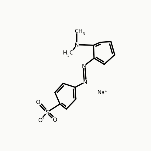 CN(C)c1ccccc1N=Nc1ccc(S(=O)(=O)[O-])cc1.[Na+]